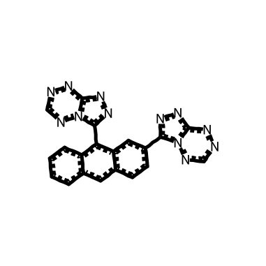 c1ccc2c(-c3nnc4nncnn34)c3cc(-c4nnc5nncnn45)ccc3cc2c1